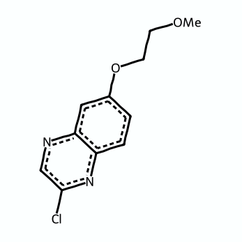 COCCOc1ccc2nc(Cl)cnc2c1